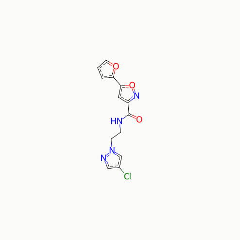 O=C(NCCn1cc(Cl)cn1)c1cc(-c2ccco2)on1